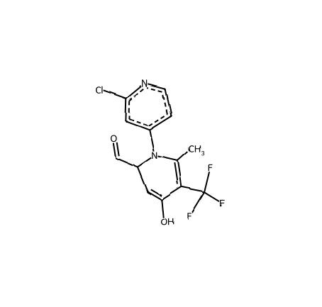 CC1=C(C(F)(F)F)C(O)=CC(C=O)N1c1ccnc(Cl)c1